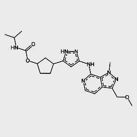 COCc1nn(C)c2c(Nc3cc(C4CCC(OC(=O)NC(C)C)C4)[nH]n3)nccc12